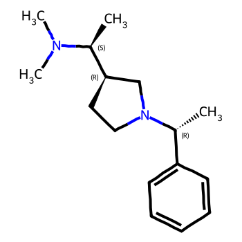 C[C@H](c1ccccc1)N1CC[C@@H]([C@H](C)N(C)C)C1